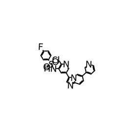 O=S(=O)(Nc1cc(-c2cnc3ccc(-c4cccnc4)cn23)cnc1Cl)c1ccc(F)cc1